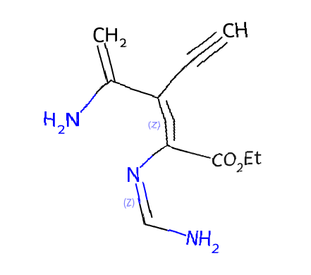 C#C/C(C(=C)N)=C(/N=C\N)C(=O)OCC